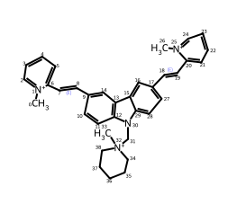 C[n+]1ccccc1/C=C/c1ccc2c(c1)c1cc(/C=C/c3cccc[n+]3C)ccc1n2C[N+]1(C)CCCCC1